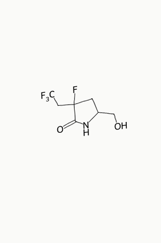 O=C1NC(CO)CC1(F)CC(F)(F)F